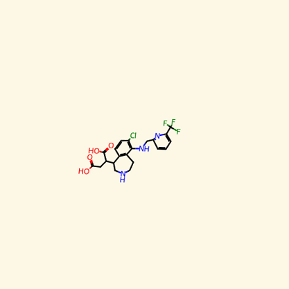 O=C(O)CC(C(=O)O)C1CNCCc2c1ccc(Cl)c2NCc1cccc(C(F)(F)F)n1